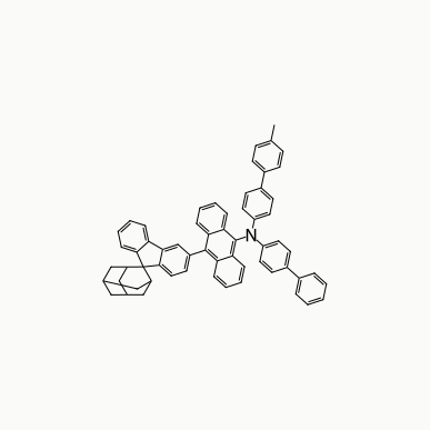 Cc1ccc(-c2ccc(N(c3ccc(-c4ccccc4)cc3)c3c4ccccc4c(-c4ccc5c(c4)-c4ccccc4C54C5CC6CC(C5)CC4C6)c4ccccc34)cc2)cc1